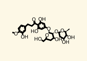 COc1ccc(CCC(=O)c2c(O)cc(O[C@@H]3OC(CO)CC(O)[C@H]3OC3C[C@H](O)C(O)[C@H](C)O3)cc2O)cc1O